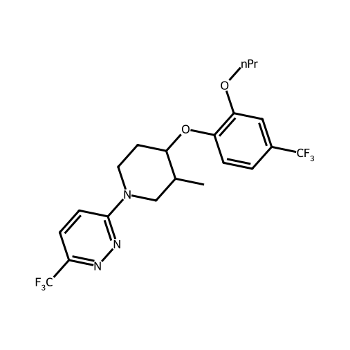 CCCOc1cc(C(F)(F)F)ccc1OC1CCN(c2ccc(C(F)(F)F)nn2)CC1C